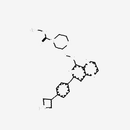 CC(C)(C)OC(=O)N1CCO[C@H](COc2nc(-c3ccc(C4CNC4)cc3)cc3nccnc23)C1